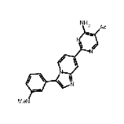 CNc1cccc(-c2cnc3cc(-c4ncc(C(C)=O)c(N)n4)ccn23)c1